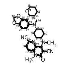 Cn1c(=O)c(C#N)c(N(C)[C@H]2CC[C@@H](N(C[C@H]3CCCOC3)c3ccc4c(c3)OCO4)CC2)c2nc(C#N)ccc21